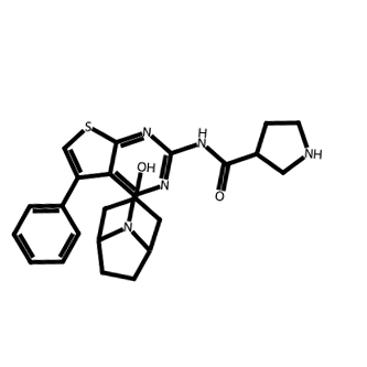 O=C(Nc1nc(N2C3CCC2CC(O)C3)c2c(-c3ccccc3)csc2n1)C1CCNC1